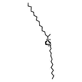 CCCCCCCCCCCCCCC(C)[n+]1ccn(CCCCCCCCCCCC)c1